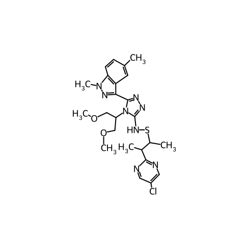 COCC(COC)n1c(NSC(C)C(C)c2ncc(Cl)cn2)nnc1-c1nn(C)c2ccc(C)cc12